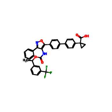 C[C@@H](OC(=O)Nc1c(-c2ccccc2)noc1-c1ccc(-c2ccc(C3(C(=O)O)CC3)cc2)cc1)c1cccc(C(F)(F)F)c1